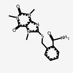 Cn1c(=O)c2c(nc(SCc3ccccc3C(N)=O)n2C)n(C)c1=O